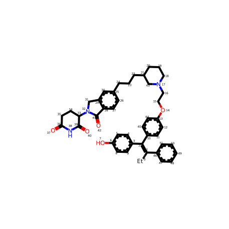 CC/C(=C(\c1ccc(O)cc1)c1ccc(OCCN2CCCC(CCCc3ccc4c(c3)CN(C3CCC(=O)NC3=O)C4=O)C2)cc1)c1ccccc1